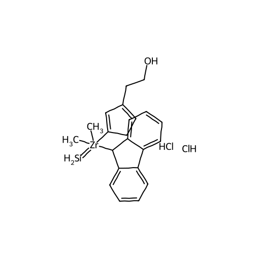 Cl.Cl.[CH3][Zr]([CH3])(=[SiH2])([C]1=CC(CCO)=CC1)[CH]1c2ccccc2-c2ccccc21